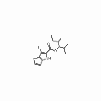 CCC(C)C(OC(=O)c1[nH]c2ccoc2c1F)C(C)C